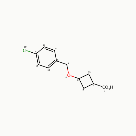 O=C(O)C1CC(OCc2ccc(Cl)cc2)C1